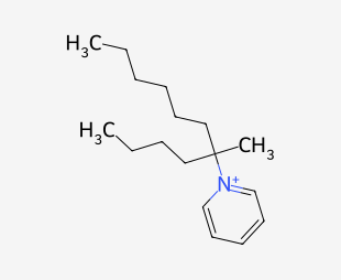 CCCCCCC(C)(CCCC)[n+]1ccccc1